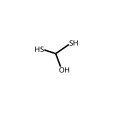 OC(S)S